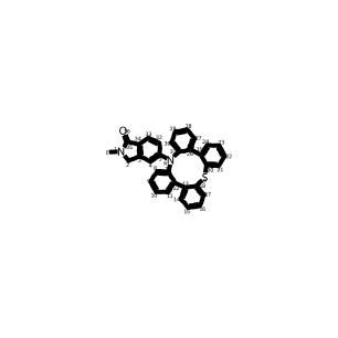 CN1Cc2cc(N3c4ccccc4-c4ccccc4Sc4ccccc4-c4ccccc43)ccc2C1=O